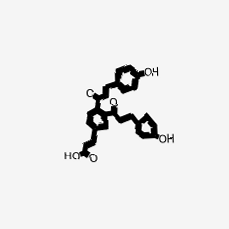 O=C(O)C=Cc1ccc(C(=O)C=Cc2ccc(O)cc2)c(C(=O)C=Cc2ccc(O)cc2)c1